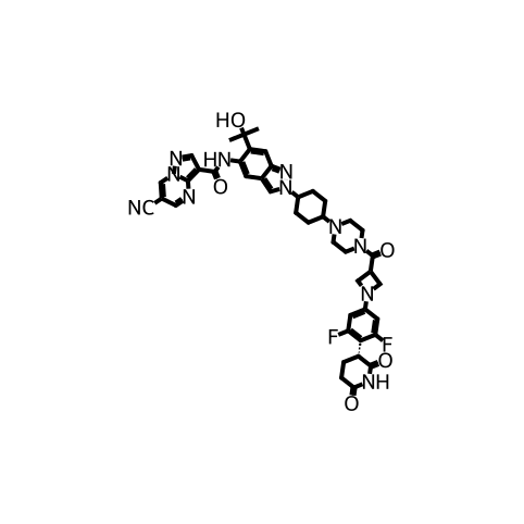 CC(C)(O)c1cc2nn(C3CCC(N4CCN(C(=O)C5CN(c6cc(F)c([C@H]7CCC(=O)NC7=O)c(F)c6)C5)CC4)CC3)cc2cc1NC(=O)c1cnn2cc(C#N)cnc12